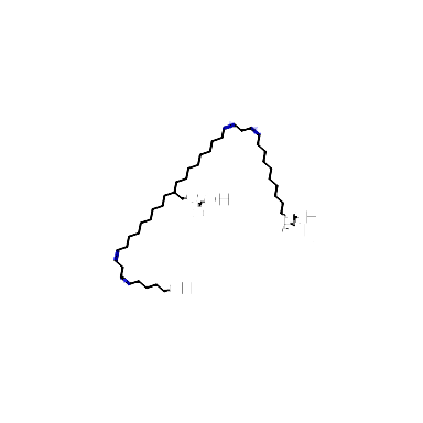 CCCCC/C=C\C/C=C\CCCCCCCCC(CCCCCCCC/C=C\C/C=C\CCCCCCCCCN(C)C)COC(=O)O